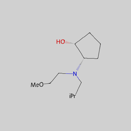 COCCN(CC(C)C)[C@H]1CCC[C@H]1O